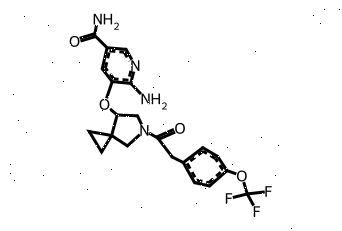 NC(=O)c1cnc(N)c(OC2CN(C(=O)Cc3ccc(OC(F)(F)F)cc3)CC23CC3)c1